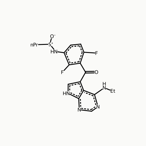 CCC[S+]([O-])Nc1ccc(F)c(C(=O)c2c[nH]c3ncnc(NCC)c23)c1F